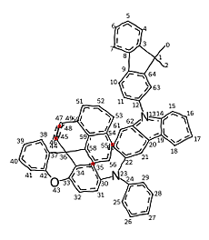 CC1(C)c2ccccc2-c2ccc(-n3c4ccccc4c4cc(N(c5ccccc5)c5ccc6c(c5)C5(c7ccccc7O6)c6ccccc6-c6cccc7cccc5c67)ccc43)cc21